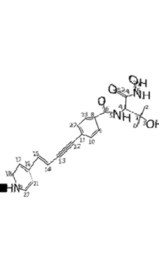 CC(C)(O)C(NC(=O)c1ccc(C#C/C=C/C2=CCNC=C2)cc1)C(=O)NO